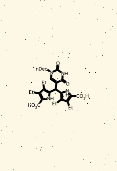 CCCCCCCCCCn1cc(C(c2[nH]c(C(=O)O)c(CC)c2CC)c2[nH]c(C(=O)O)c(CC)c2CC)c(=O)[nH]c1=O